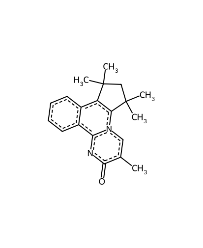 Cc1cn2c3c(c4ccccc4c2nc1=O)C(C)(C)CC3(C)C